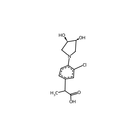 CC(C(=O)O)c1ccc(N2C[C@@H](O)[C@@H](O)C2)c(Cl)c1